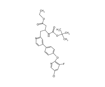 CCOC(=O)CC(Cc1cc(-c2ccc(Oc3ncc(Cl)cc3F)cc2)ccn1)NC(=O)OC(C)(C)C